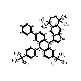 CC(C)(C)c1ccc(N2c3ccc(C(C)(C)C)cc3B(c3coc4cc5c(cc34)C(C)(C)CCC5(C)C)c3ccc(-c4ccccc4)cc32)cc1